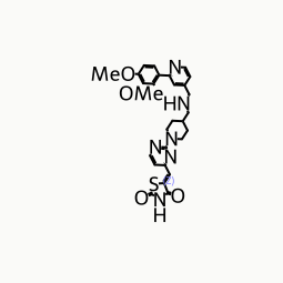 COc1ccc(-c2cc(CNCC3CCN(c4nccc(/C=C5\SC(=O)NC5=O)n4)CC3)ccn2)c(OC)c1